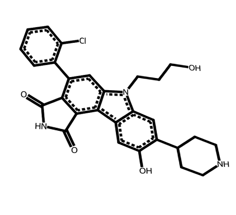 O=C1NC(=O)c2c1c(-c1ccccc1Cl)cc1c2c2cc(O)c(C3CCNCC3)cc2n1CCCO